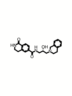 O=C(NC[C@H](O)CN1CCc2ccccc2C1)c1ccc2c(c1)CCNC2=O